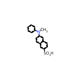 CN(c1ccccc1)c1ccc2cc(S(=O)(=O)O)ccc2c1